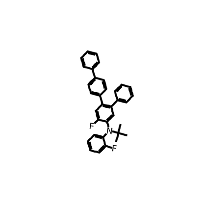 CC(C)(C)N(c1ccccc1F)c1cc(-c2ccccc2)c(-c2ccc(-c3ccccc3)cc2)cc1F